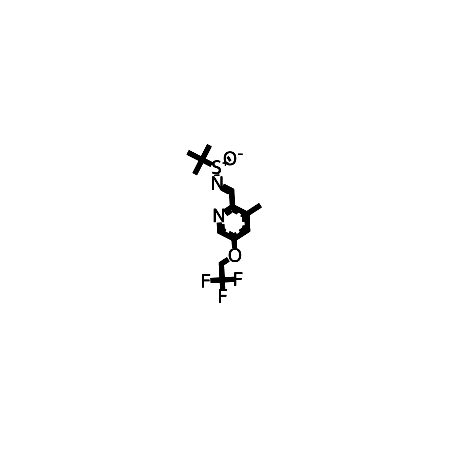 Cc1cc(OCC(F)(F)F)cnc1C=N[S+]([O-])C(C)(C)C